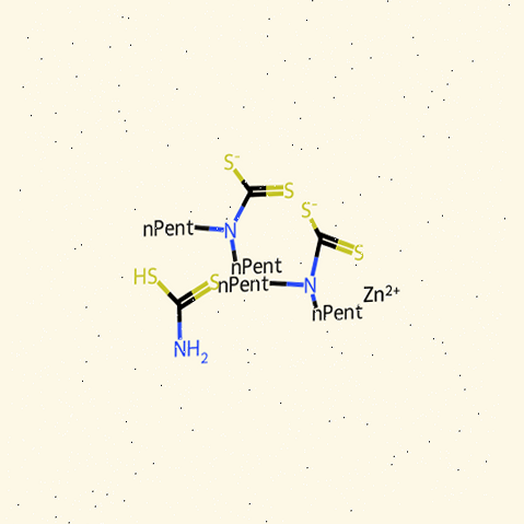 CCCCCN(CCCCC)C(=S)[S-].CCCCCN(CCCCC)C(=S)[S-].NC(=S)S.[Zn+2]